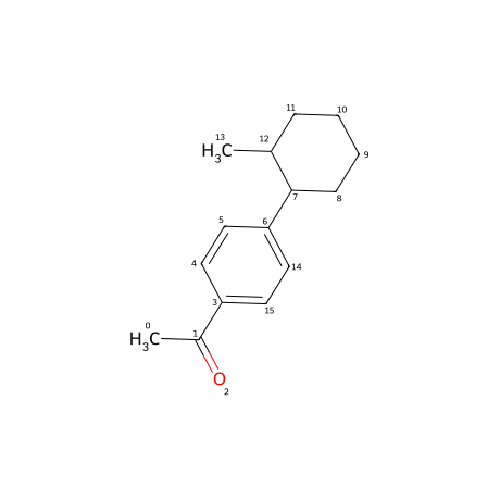 CC(=O)c1ccc(C2CCCCC2C)cc1